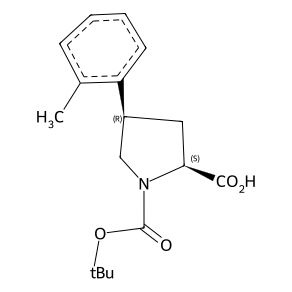 Cc1ccccc1[C@H]1C[C@@H](C(=O)O)N(C(=O)OC(C)(C)C)C1